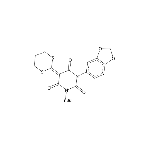 CCCCN1C(=O)C(=C2SCCCS2)C(=O)N(c2ccc3c(c2)OCO3)C1=O